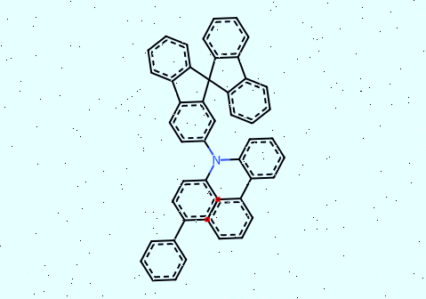 c1ccc(-c2ccc(N(c3ccc4c(c3)C3(c5ccccc5-c5ccccc53)c3ccccc3-4)c3ccccc3-c3ccccc3)cc2)cc1